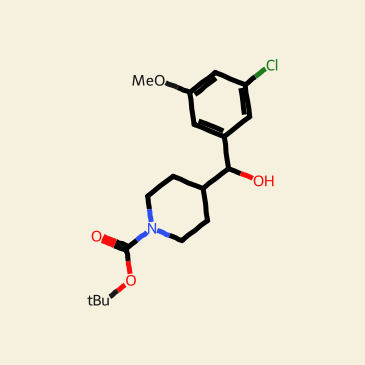 COc1cc(Cl)cc(C(O)C2CCN(C(=O)OC(C)(C)C)CC2)c1